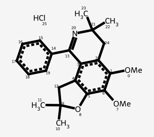 COc1c2c(c3c(c1OC)OC(C)(C)C3)C(c1ccccc1)=NC(C)(C)C2.Cl